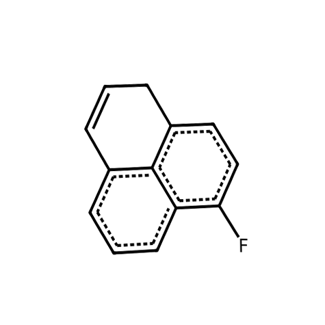 Fc1ccc2c3c(cccc13)C=CC2